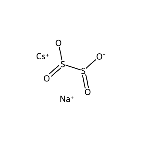 O=S([O-])S(=O)[O-].[Cs+].[Na+]